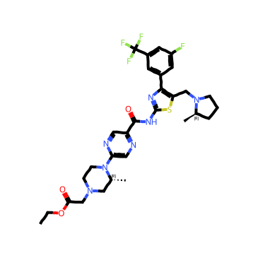 CCOC(=O)CN1CCN(c2cnc(C(=O)Nc3nc(-c4cc(F)cc(C(F)(F)F)c4)c(CN4CCC[C@H]4C)s3)cn2)[C@H](C)C1